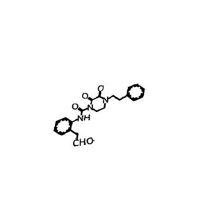 O=[C]Cc1ccccc1NC(=O)N1CCN(CCc2ccccc2)C(=O)C1=O